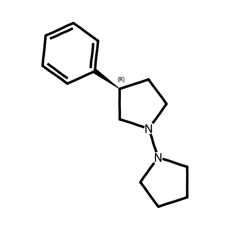 c1ccc([C@H]2CCN(N3CCCC3)C2)cc1